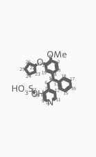 COc1ccc([C@H](Cc2ccncc2)c2ccccc2)cc1OC1CCCC1.O=S(=O)(O)O